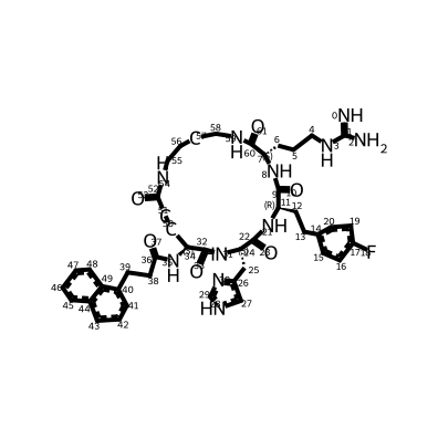 N=C(N)NCCC[C@@H]1NC(=O)[C@@H](CCc2ccc(F)cc2)NC(=O)[C@H](Cc2c[nH]cn2)NC(=O)[C@@H](NC(=O)CCc2cccc3ccccc23)CCC(=O)NCCCCNC1=O